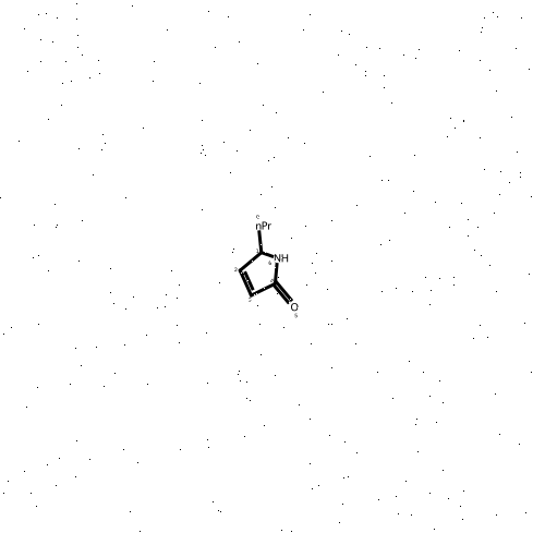 CCCC1C=CC(=O)N1